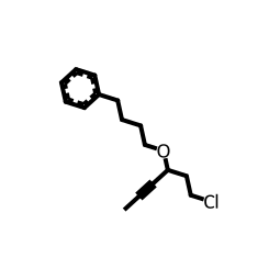 CC#CC(CCCl)OCCCCc1ccccc1